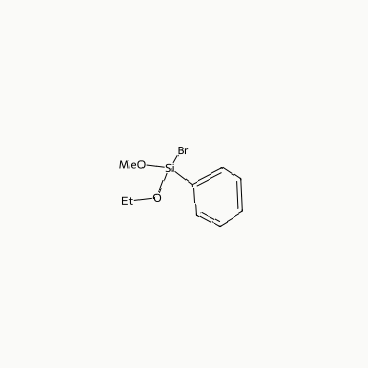 CCO[Si](Br)(OC)c1ccccc1